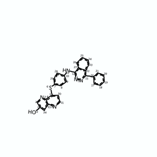 Oc1cnc2c(Sc3ccc(Nc4nnc(-c5ccccc5)c5ccccc45)cc3)ccnc2c1